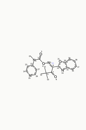 CN(C(=O)O/N=C(\C(=O)C(C)(C)C)c1nc2ccccc2o1)c1ccncc1